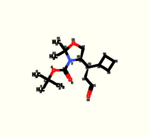 CC(C)(C)OC(=O)N1[C@H]([C@@H](CC=O)C2CCC2)COC1(C)C